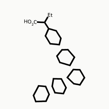 C1CCCCC1.C1CCCCC1.C1CCCCC1.C1CCCCC1.CCC(C(=O)O)C1CCCCC1